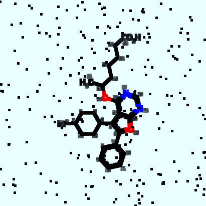 CCC1CCC(c2c(-c3ccccc3)oc3ncnc(OC(C)CCCCC(=O)O)c23)CC1